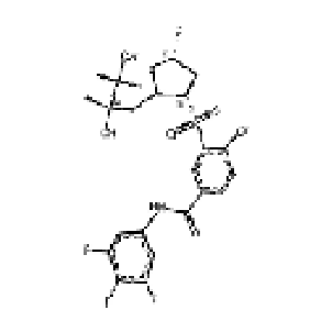 C[C@H]1CC(C[C@](C)(O)C(C)(C)O)[C@@H](S(=O)(=O)c2cc(C(=O)Nc3cc(F)c(F)c(F)c3)ccc2Cl)C1